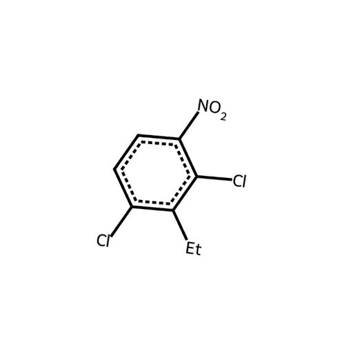 CCc1c(Cl)ccc([N+](=O)[O-])c1Cl